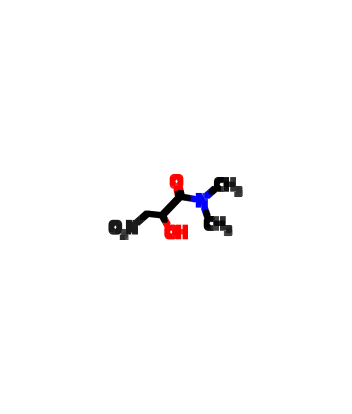 CN(C)C(=O)C(O)C[N+](=O)[O-]